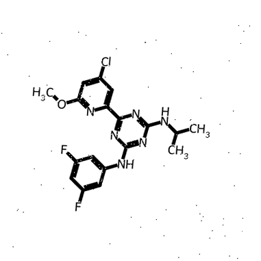 COc1cc(Cl)cc(-c2nc(Nc3cc(F)cc(F)c3)nc(NC(C)C)n2)n1